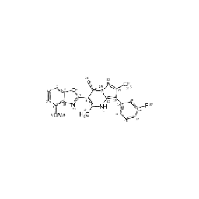 COc1cccc2oc(-c3c(C)[nH]c4c(-c5cccc(F)c5)c(C(F)(F)F)nn4c3=O)nc12